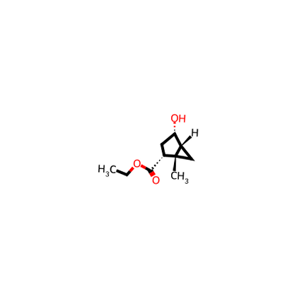 CCOC(=O)[C@@H]1C[C@H](O)[C@@H]2C[C@]12C